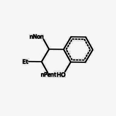 CCCCCCCCCC(c1ccccc1O)C(CC)CCCCC